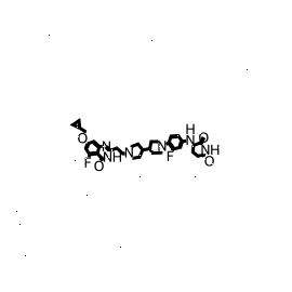 O=C1CCC(Nc2ccc(N3CCC(C4CCN(CCc5nc6cc(OCC7CC7)cc(F)c6c(=O)[nH]5)CC4)CC3)c(F)c2)C(=O)N1